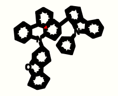 c1ccc(-c2ccccc2N(c2ccc(-c3cccc4c5ccccc5n(-c5ccccc5)c34)cc2)c2ccc3c(c2)oc2ccccc23)cc1